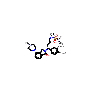 CCN1CCN(c2cccc3c2CN([C@H](CCCN(C)S(=O)(=O)N(C)C)c2ccc(OC)c(OC)c2)C3=O)CC1